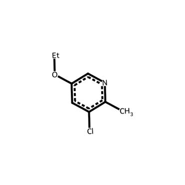 CCOc1cnc(C)c(Cl)c1